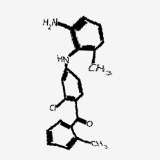 Cc1ccccc1C(=O)c1ccc(Nc2c(C)cccc2N)cc1Cl